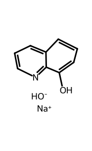 Oc1cccc2cccnc12.[Na+].[OH-]